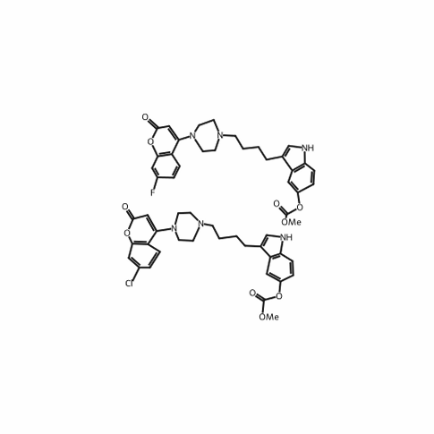 COC(=O)Oc1ccc2[nH]cc(CCCCN3CCN(c4cc(=O)oc5cc(Cl)ccc45)CC3)c2c1.COC(=O)Oc1ccc2[nH]cc(CCCCN3CCN(c4cc(=O)oc5cc(F)ccc45)CC3)c2c1